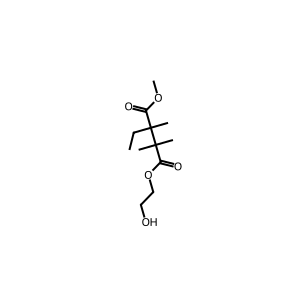 CCC(C)(C(=O)OC)C(C)(C)C(=O)OCCO